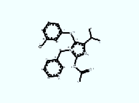 CC(=O)Oc1nc(C(C)C)c(Sc2cccc(Cl)c2)n1Cc1cccnc1